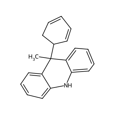 CC1(C2C=CC=CC2)c2ccccc2Nc2ccccc21